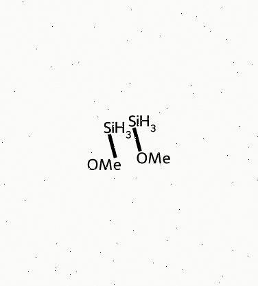 CO[SiH3].CO[SiH3]